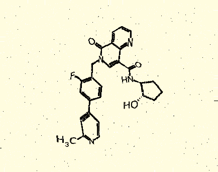 Cc1cc(-c2ccc(Cn3cc(C(=O)N[C@H]4CCC[C@@H]4O)c4ncccc4c3=O)c(F)c2)ccn1